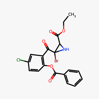 CCOC(=O)C1NC1(Br)C(=O)c1cc(Cl)ccc1OC(=O)c1ccccc1